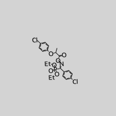 CCOP(=O)(OCC)C(=NOC(=O)C(C)Oc1ccc(Cl)cc1)c1ccc(Cl)cc1